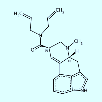 C=CCN(CC=C)C(=O)[C@@H]1C=C2c3cccc4[nH]cc(c34)C[C@H]2N(C)C1